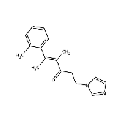 C/C(C(=O)CCn1ccnc1)=C(/C)c1ccccc1C